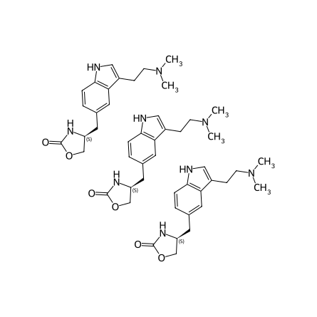 CN(C)CCc1c[nH]c2ccc(C[C@H]3COC(=O)N3)cc12.CN(C)CCc1c[nH]c2ccc(C[C@H]3COC(=O)N3)cc12.CN(C)CCc1c[nH]c2ccc(C[C@H]3COC(=O)N3)cc12